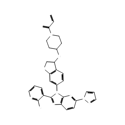 C=CC(=O)N1CCC(NC2CSc3cc(-n4c(-c5cccnc5N)nc5ccc(-n6cccn6)nc54)ccc32)CC1